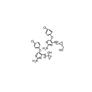 Nc1ncc(Oc2ccc(Cl)cc2)c(NCC2(O)CC2)n1.Nc1ncc(Oc2ccc(Cl)cc2)c(NCC2CC2CO)n1